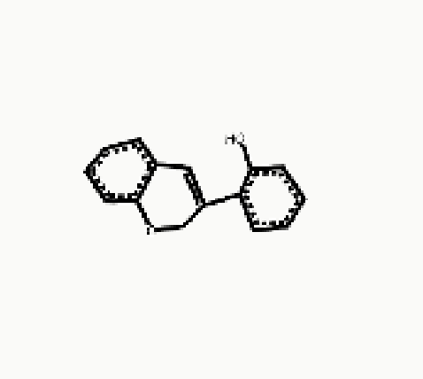 Oc1ccccc1C1=Cc2ccccc2OC1